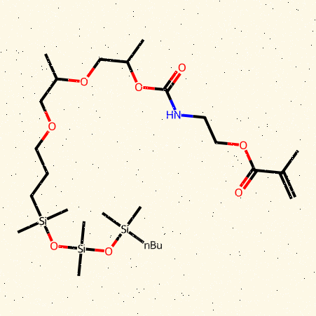 C=C(C)C(=O)OCCNC(=O)OC(C)COC(C)COCCC[Si](C)(C)O[Si](C)(C)O[Si](C)(C)CCCC